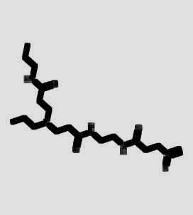 C#S(=S)CCC(=O)NCCNC(=O)CCN(CCC)CCC(=O)NCCC